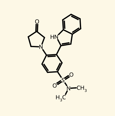 CN(C)S(=O)(=O)c1ccc(N2CCC(=O)C2)c(-c2cc3ccccc3[nH]2)c1